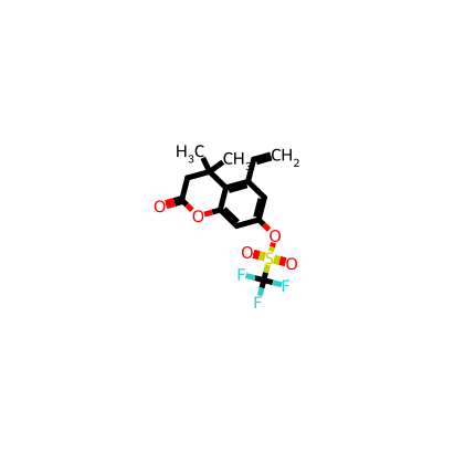 C=Cc1cc(OS(=O)(=O)C(F)(F)F)cc2c1C(C)(C)CC(=O)O2